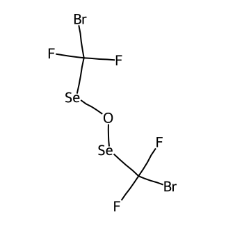 FC(F)(Br)[Se]O[Se]C(F)(F)Br